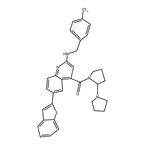 O=C(c1cc(NCc2ccc(C(F)(F)F)cc2)nc2ccc(-c3cc4ccccc4s3)cc12)N1CCCC1N1CCCC1